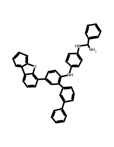 NC(Nc1ccc(Nc2ccc(-c3cccc4c3oc3ccccc34)cc2-c2cccc(-c3ccccc3)c2)cc1)c1ccccc1